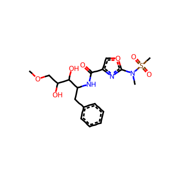 COCC(O)C(O)C(Cc1ccccc1)NC(=O)c1coc(N(C)S(C)(=O)=O)n1